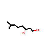 CC(C)=CCC[C@@H](O)CCO